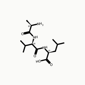 CC(C)C[C@H](NC(=O)[C@H](NC(=O)[C@@H](C)N)C(C)C)C(=O)O